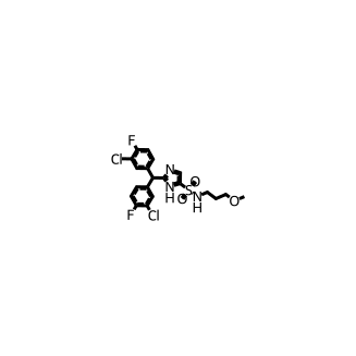 COCCCNS(=O)(=O)c1cnc(C(c2ccc(F)c(Cl)c2)c2ccc(F)c(Cl)c2)[nH]1